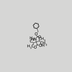 CC(C)C(NC(=O)OCc1ccccc1)(C(=O)O)C(C)C